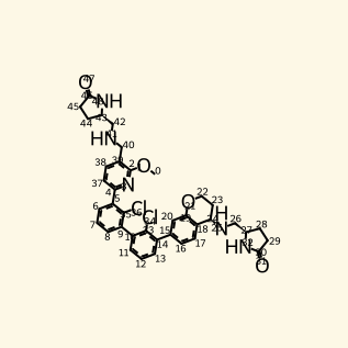 COc1nc(-c2cccc(-c3cccc(-c4ccc5c(c4)OCC[C@H]5NC[C@H]4CCC(=O)N4)c3Cl)c2Cl)ccc1CNC[C@H]1CCC(=O)N1